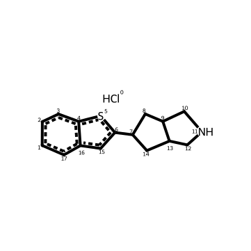 Cl.c1ccc2sc(C3CC4CNCC4C3)cc2c1